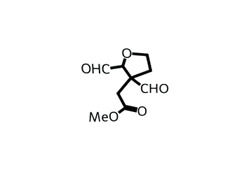 COC(=O)CC1(C=O)CCOC1C=O